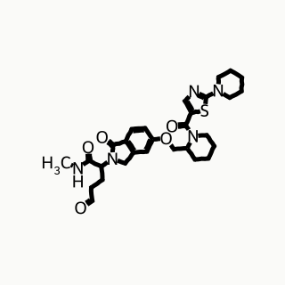 CNC(=O)C(CCC=O)N1Cc2cc(OCC3CCCCN3C(=O)c3cnc(N4CCCCC4)s3)ccc2C1=O